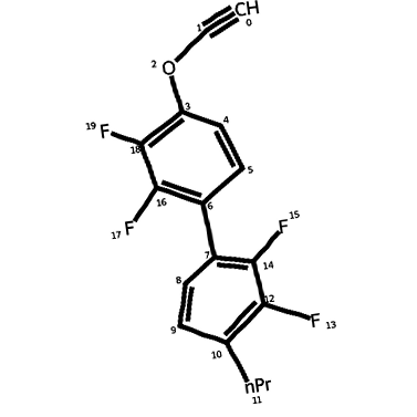 C#COc1ccc(-c2ccc(CCC)c(F)c2F)c(F)c1F